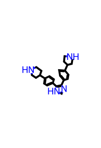 c1nc(-c2ccc(C3CCNCC3)cc2)c(-c2ccc(C3CCNCC3)cc2)[nH]1